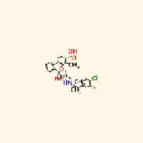 Cc1cc(-c2ccccc2C(C)OC[C@@H](O)CNC(C)(C)Cc2ccc(Cl)c(F)c2)ccc1C(=O)O